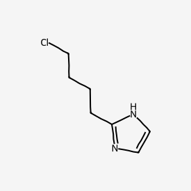 ClCCCCc1ncc[nH]1